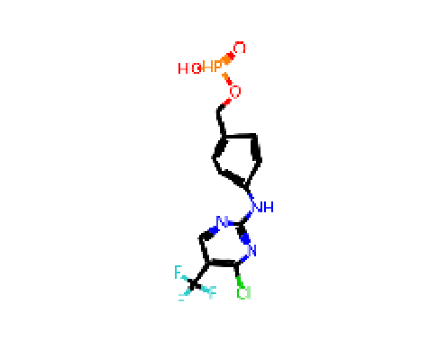 O=[PH](O)OCc1ccc(Nc2ncc(C(F)(F)F)c(Cl)n2)cc1